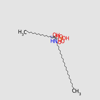 CCCCCCCCCCCCC/C=C/[C@@H](O)[C@H](COP(=O)(O)O)NC(=O)CCCCCCCCCCCCCCCCCCCCCCC